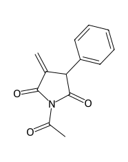 C=C1C(=O)N(C(C)=O)C(=O)C1c1ccccc1